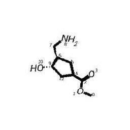 COC(=O)C1C[C@H](CN)[C@@H](O)C1